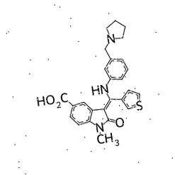 CN1C(=O)C(=C(Nc2cccc(CN3CCCC3)c2)c2ccsc2)c2cc(C(=O)O)ccc21